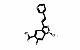 Cn1nc(/C=C/c2cccnc2)c2cc(C(=O)O)c(F)cc21